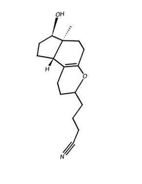 C[C@]12CCC3=C(CCC(CCCC#N)O3)[C@@H]1CC[C@H]2O